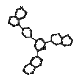 c1ccc2cc(-c3cc(-c4ccc(-c5cccc6cnccc56)cc4)cc(-c4ccc5ccccc5c4)n3)ccc2c1